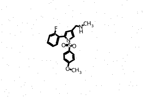 CNCc1cc(-c2ccccc2F)n(S(=O)(=O)c2ccc(OC)cc2)c1